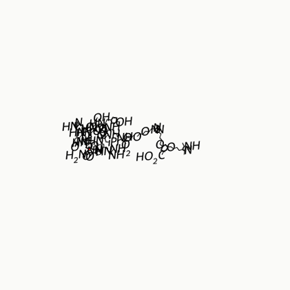 Cc1n[nH]c(C)c1CCCOc1cc(OCCCc2cn(CCOCCOCCOC(=O)CNCCCCC(NC(=O)C(Cc3ccc(O)cc3)NC(=O)C(CO)NC(=O)C(Cc3c[nH]c4ccccc34)NC(=O)C(Cc3c[nH]cn3)NC(=O)C3CCC(=O)N3)C(=O)NC(CC(C)C)C(=O)NC(CCCNC(=N)N)C(=O)N3CCCC3C(=O)NCC(N)=O)nn2)cc(C(=O)O)c1